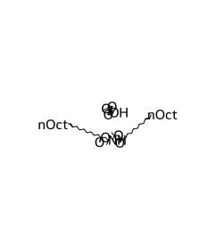 CCCCCCCCC=CCCCCCCCC(=O)OC(C)NC(C)OC(=O)CCCCCCCC=CCCCCCCCC.COS(=O)(=O)O